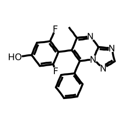 Cc1nc2ncnn2c(-c2ccccc2)c1-c1c(F)cc(O)cc1F